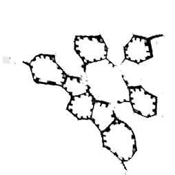 N#Cc1ccc(-n2c3ccccc3n3c4ccc(C#N)cc4c4ccc5c6cc(C#N)ccc6n(c6ccccc62)c5c43)cc1